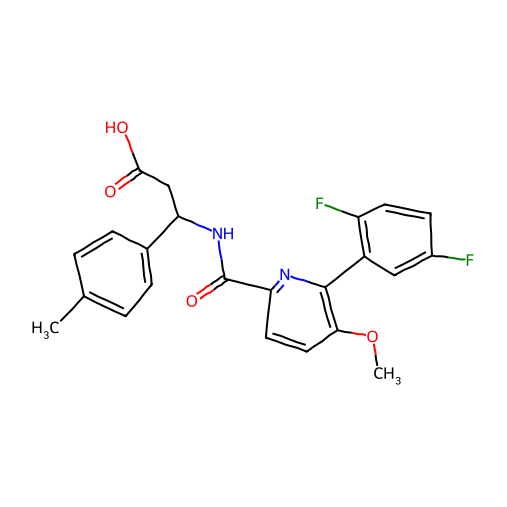 COc1ccc(C(=O)NC(CC(=O)O)c2ccc(C)cc2)nc1-c1cc(F)ccc1F